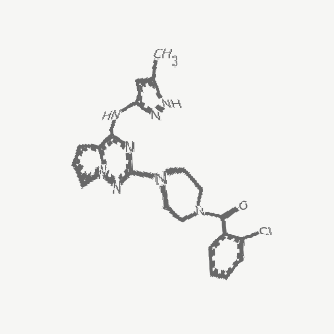 Cc1cc(Nc2nc(N3CCN(C(=O)c4ccccc4Cl)CC3)nn3cccc23)n[nH]1